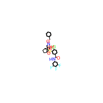 O=C(Nc1cc(F)c(F)c(F)c1)c1ccc(Cl)c(S(=O)(=O)[C@@H]2C3CCC2[C@@](O)(/C=N/OCc2ccccc2)C3)c1